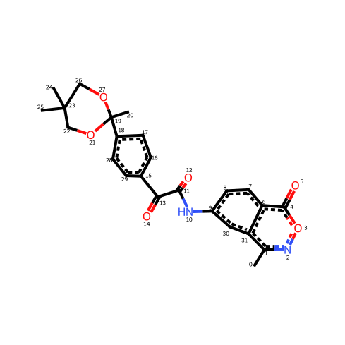 Cc1noc(=O)c2ccc(NC(=O)C(=O)c3ccc(C4(C)OCC(C)(C)CO4)cc3)cc12